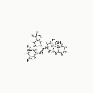 C[C@@H]1CN(C(=O)[C@H]2CN(C(C)(C)C)C[C@H]2c2ccc(F)cc2F)C[C@H](C)[C@]1(O)c1ccccc1